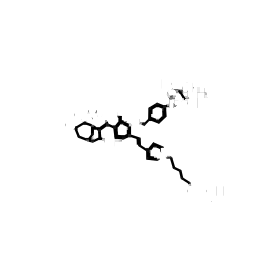 CO/C(=C1/C(C)CC2CC(C)CC1C2)c1ccc(/C=C/c2cc[n+](CCCCCC(=O)O)cc2)c(OCc2ccc(B3OC(C)(C)C(C)(C)O3)cc2)c1Cl